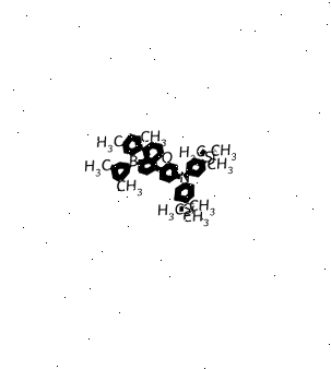 Cc1cc(C)cc(B(c2cc(C)cc(C)c2)c2ccc3c4c(cccc24)Oc2cc(N(c4ccc([Si](C)(C)C)cc4)c4ccc([Si](C)(C)C)cc4)ccc2-3)c1